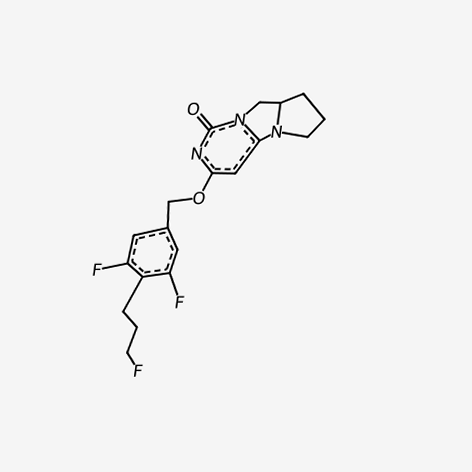 O=c1nc(OCc2cc(F)c(CCCF)c(F)c2)cc2n1CC1CCCN21